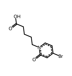 O=C(O)CCCCn1ccc(Br)cc1=O